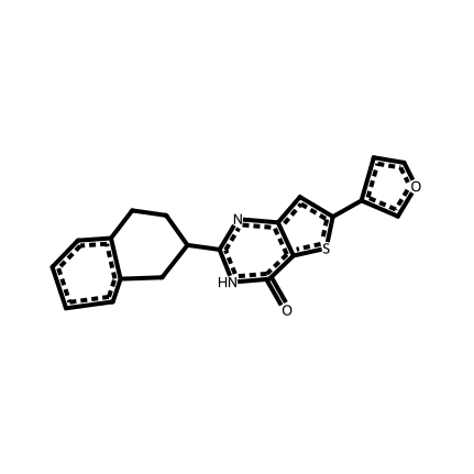 O=c1[nH]c(C2CCc3ccccc3C2)nc2cc(-c3ccoc3)sc12